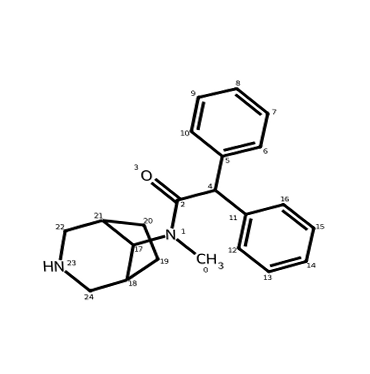 CN(C(=O)C(c1ccccc1)c1ccccc1)C1C2CCC1CNC2